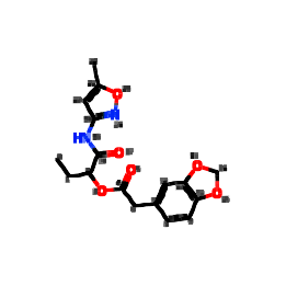 CCC(OC(=O)Cc1ccc2c(c1)OCO2)C(=O)Nc1cc(C)on1